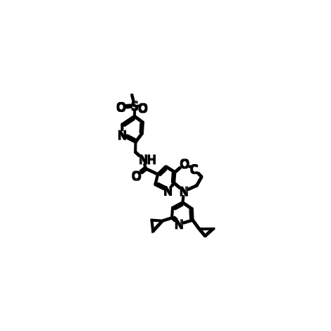 CS(=O)(=O)c1ccc(CNC(=O)c2cnc3c(c2)OCCCN3c2cc(C3CC3)nc(C3CC3)c2)nc1